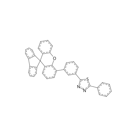 c1ccc(-c2nnc(-c3cccc(-c4cccc5c4Oc4ccccc4C54c5ccccc5-c5ccccc54)c3)s2)cc1